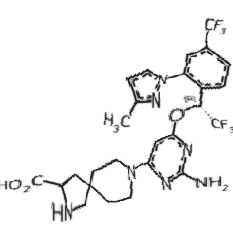 Cc1ccn(-c2cc(C(F)(F)F)ccc2[C@@H](Oc2cc(N3CCC4(CC3)CNC(C(=O)O)C4)nc(N)n2)C(F)(F)F)n1